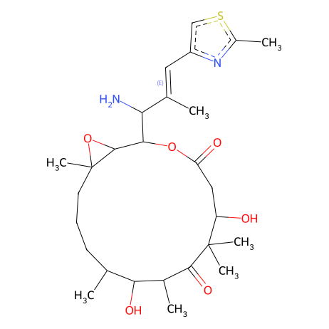 C/C(=C\c1csc(C)n1)C(N)C1OC(=O)CC(O)C(C)(C)C(=O)C(C)C(O)C(C)CCCC2(C)OC12